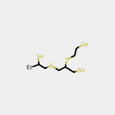 CCC(S)CSCC(CS)SCCS